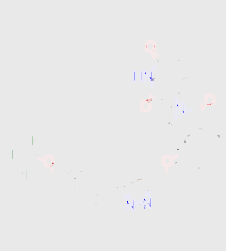 O=C1CCC(N2Cc3c(OCc4nnc(-c5ccc(COC(F)(F)F)cc5)s4)cccc3C2=O)C(=O)N1